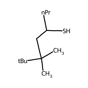 CCCC(S)CC(C)(C)C(C)(C)C